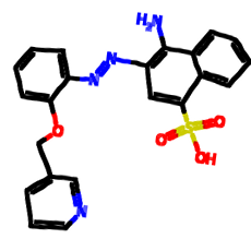 Nc1c(N=Nc2ccccc2OCc2cccnc2)cc(S(=O)(=O)O)c2ccccc12